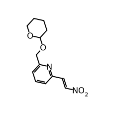 O=[N+]([O-])/C=C/c1cccc(COC2CCCCO2)n1